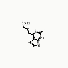 CCOC(=O)CCCc1nc(Cl)nc2[nH]cnc12